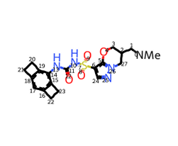 CNCC1COc2c(S(=O)(=O)NC(=O)Nc3c4c(cc5c3CC5)CC4)cnn2C1